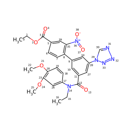 CCOC(=O)c1ccc(-c2cc(C(=O)N(CC)c3ccc(OC)c(OC)c3)cc(-n3cnnn3)c2)c([N+](=O)[O-])c1